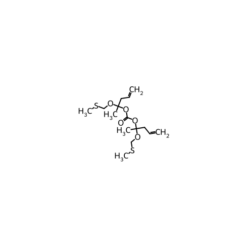 C=CCC(C)(OCSC)OC(=O)OC(C)(CC=C)OCSC